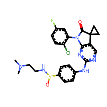 CN(C)CCN[S+]([O-])c1ccc(Nc2ncc3c(n2)N(c2cc(F)ccc2Cl)C(=O)C32CC2)cc1